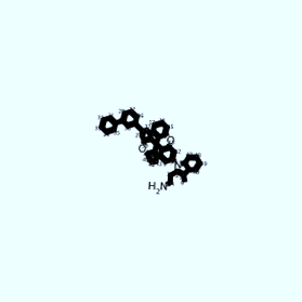 CC1=C(CCN)N(c2ccc3c(c2)Oc2ccccc2C32C3=C(C=C(c4cccc(-c5ccccc5)c4)CC3)Oc3ccccc32)C2C=CC=CC12